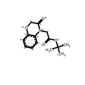 CC(C)(C)OC(=O)CN1C(=S)COc2ccccc21